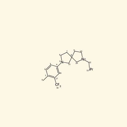 Cc1ccc(N2CCC3(CCN(CC(C)C)C3)C2)cc1C(F)(F)F